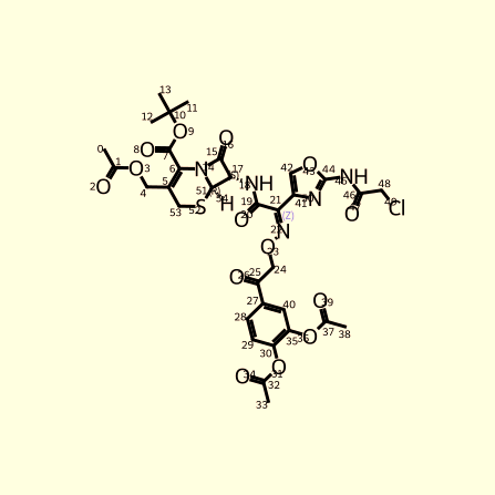 CC(=O)OCC1=C(C(=O)OC(C)(C)C)N2C(=O)[C@H](NC(=O)/C(=N\OCC(=O)c3ccc(OC(C)=O)c(OC(C)=O)c3)c3coc(NC(=O)CCl)n3)[C@H]2SC1